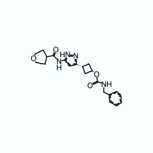 O=C(NCc1ccccc1)O[C@H]1C[C@@H](c2cc(NC(=O)C3CCOCC3)[nH]n2)C1